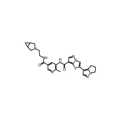 Cc1ncc(C(=O)NCCN2CC3CC3C2)cc1NC(=O)c1cnn2cc(-c3cnn4c3CCC4)sc12